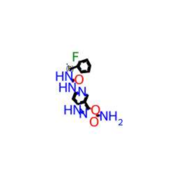 C[C@@H](NC(=O)Nc1cc2[nH]nc(OC(N)=O)c2cn1)c1ccccc1F